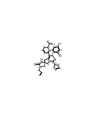 C=CCN1C[C@]2(CC3=C(C4=NC(C(C)F)CC=C4)[C@H](c4ccc(F)cc4Cl)N=C(C4CC=CS4)N3C2)NC1=O